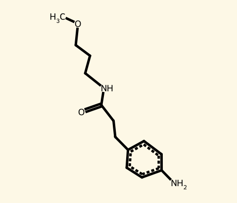 COCCCNC(=O)CCc1ccc(N)cc1